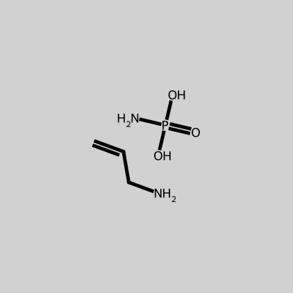 C=CCN.NP(=O)(O)O